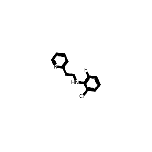 Fc1cccc(Cl)c1NCCc1ccccn1